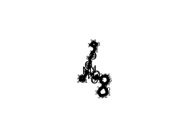 O=C(Oc1nc(OCCOCCC2CCC2)nc(C2CCC2)n1)C1CCCCC(C2CCCCCC2)C1